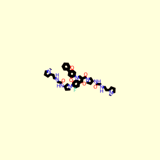 CN1CCCC1CCNCC(=O)N[C@@H]1CCN(C(=O)c2cn3c4c(c(N5CC[C@@H](NC(=O)CNCCC6CCCN6C)C5)c(F)cc4c2=O)Oc2cc4c(cc2-3)oc2ccccc24)C1